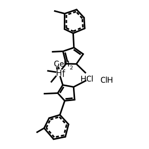 CC1=[C]([Hf]([CH3])([CH3])(=[GeH2])[C]2=C(C)C(c3cccc(C)c3)=CC2C)C(C)C=C1c1cccc(C)c1.Cl.Cl